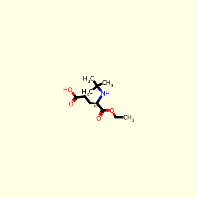 CCOC(=O)[C@@H](CCC(=O)O)NC(C)(C)C